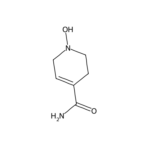 NC(=O)C1=CCN(O)CC1